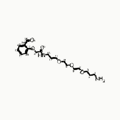 NCCCOCCOCCOCCCNC(=O)COc1ccccc1C=O